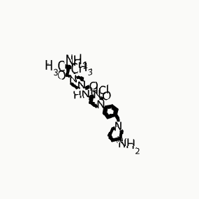 CC(C)(N)C(=O)N1CCN(C(=O)Nc2ccn(-c3ccc(CN4CCC[C@@H](N)C4)cc3)c(=O)n2)CC1.Cl